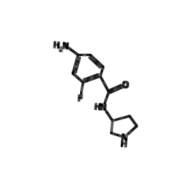 Nc1ccc(C(=O)NC2CCNC2)c(F)c1